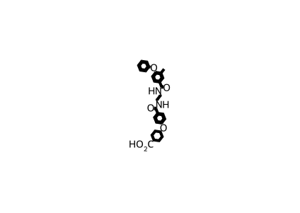 Cc1cc(C(=O)NCCNC(=O)c2ccc(O[C@H]3CC[C@@H](C(=O)O)CC3)cc2)ccc1Oc1ccccc1